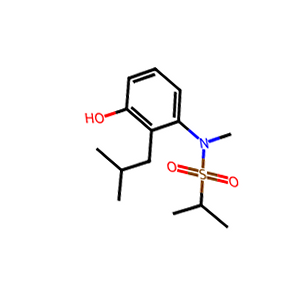 CC(C)Cc1c(O)cccc1N(C)S(=O)(=O)C(C)C